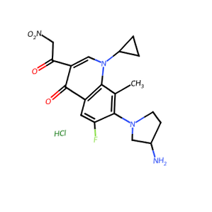 Cc1c(N2CCC(N)C2)c(F)cc2c(=O)c(C(=O)C[N+](=O)[O-])cn(C3CC3)c12.Cl